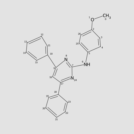 COc1ccc(Nc2nc(-c3ccccc3)cc(-c3ccccc3)n2)cc1